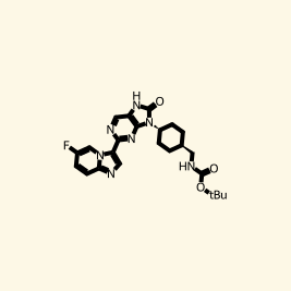 CC(C)(C)OC(=O)NC[C@H]1CC[C@H](n2c(=O)[nH]c3cnc(-c4cnc5ccc(F)cn45)nc32)CC1